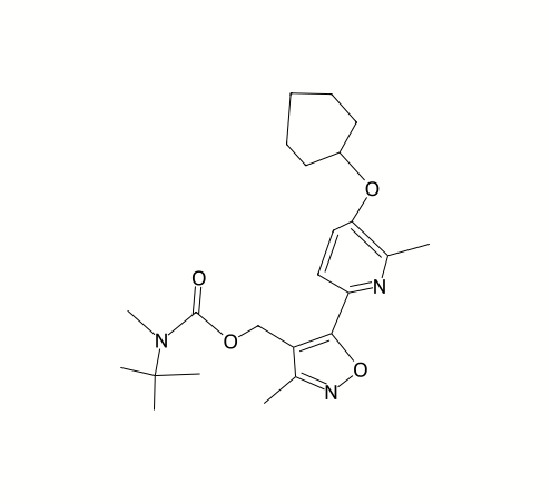 Cc1nc(-c2onc(C)c2COC(=O)N(C)C(C)(C)C)ccc1OC1CCCCC1